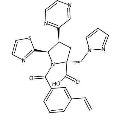 C=Cc1cccc(C(=O)N2[C@@H](c3nccs3)[C@@H](c3cnccn3)C[C@@]2(Cn2cccn2)C(=O)O)c1